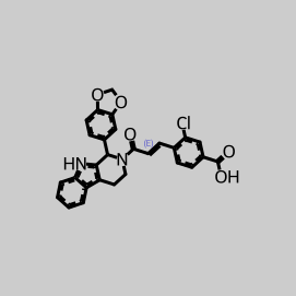 O=C(O)c1ccc(/C=C/C(=O)N2CCc3c([nH]c4ccccc34)C2c2ccc3c(c2)OCO3)c(Cl)c1